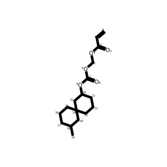 C=CC(=O)OCOC(=O)OC1CCCC2(CCCC(C)C2)C1